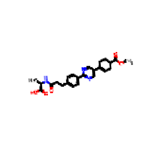 COC(=O)C1CC=C(c2cnc(-c3ccc(CCC(=O)NC(C)C(=O)O)cc3)nc2)CC1